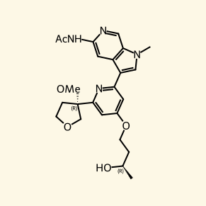 CO[C@@]1(c2cc(OCC[C@@H](C)O)cc(-c3cn(C)c4cnc(NC(C)=O)cc34)n2)CCOC1